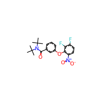 CC(C)(C)N(C(=O)c1cccc(Oc2c([N+](=O)[O-])ccc(F)c2F)c1)C(C)(C)C